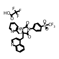 O=C(O)C(F)(F)F.O=C1N[C@](Cc2ccccn2)(Cc2ccnc3ccccc23)C(=O)N1c1ccc(S(=O)(=O)C(F)(F)F)cc1